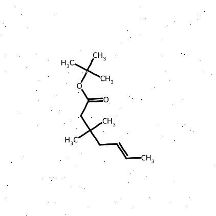 CC=CCC(C)(C)CC(=O)OC(C)(C)C